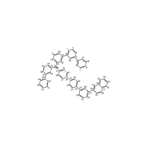 c1ccc(-c2cccc(-c3cccc(N(c4ccc(-c5ccc(-c6cccc(-c7ccc8ccccc8c7)c6)cc5)cc4)c4cccc(-c5ccccc5)c4)c3)c2)cc1